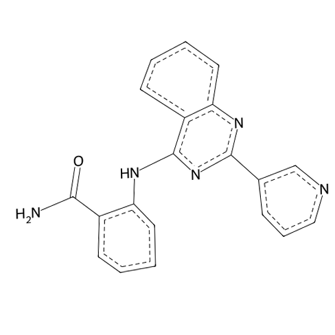 NC(=O)c1ccccc1Nc1nc(-c2cccnc2)nc2ccccc12